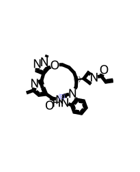 C=CC(=O)N1CC([C@@H]2CCCOc3c(cnn3C)-c3cc(cc(C)n3)C(=O)/N=C3\Nc4ccccc4N3C2)C1